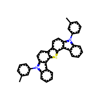 Cc1cccc(-n2c3ccccc3c3c4sc5c(ccc6c5c5ccccc5n6-c5cccc(C)c5)c4ccc32)c1